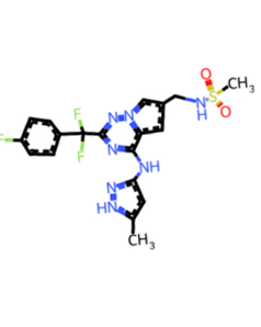 Cc1cc(Nc2nc(C(F)(F)c3ccc(F)cc3)nn3cc(CNS(C)(=O)=O)cc23)n[nH]1